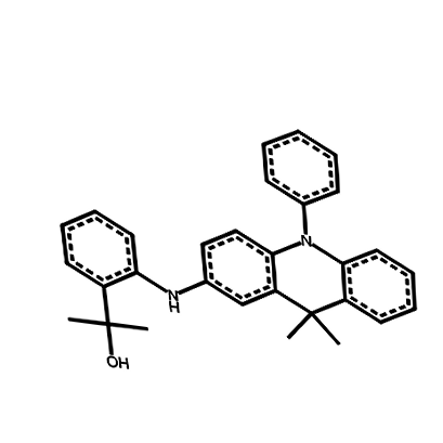 CC(C)(O)c1ccccc1Nc1ccc2c(c1)C(C)(C)c1ccccc1N2c1ccccc1